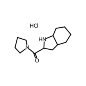 Cl.O=C(C1CC2CCCCC2N1)N1CCCC1